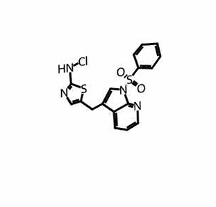 O=S(=O)(c1ccccc1)n1cc(Cc2cnc(NCl)s2)c2cccnc21